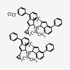 CC1=Cc2c(-c3ccccc3)cccc2[CH]1[Hf]([CH]1C(C2CC2)=Cc2c(-c3ccccc3)cccc21)=[Si](C)C.CC1=Cc2c(-c3ccccc3)cccc2[CH]1[Hf]([CH]1C(C2CC2)=Cc2c(-c3ccccc3)cccc21)=[Si](C)C.[Cl-].[Cl-]